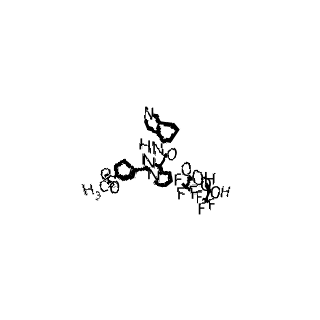 CS(=O)(=O)c1ccc(-c2nc(C(=O)Nc3cccc4cnccc34)c3ccccn23)cc1.O=C(O)C(F)(F)F.O=C(O)C(F)(F)F